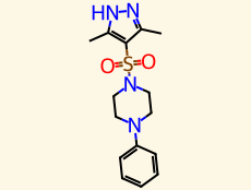 Cc1n[nH]c(C)c1S(=O)(=O)N1CCN(c2ccccc2)CC1